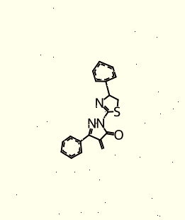 C=C1C(=O)N(C2=NC(c3ccccc3)CS2)N=C1c1ccccc1